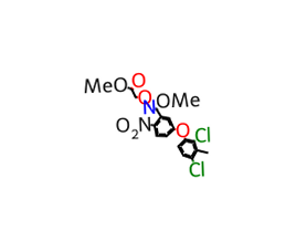 COC(=O)CON=C(OC)c1cc(Oc2ccc(Cl)c(C)c2Cl)ccc1[N+](=O)[O-]